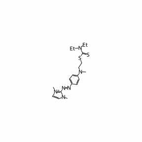 CCN(CC)C(=S)SCCN(C)c1ccc(/N=N/c2n(C)cc[n+]2C)cc1